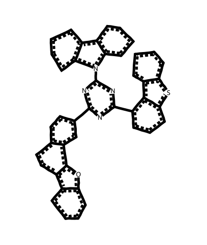 c1ccc2c(c1)oc1c3cc(-c4nc(-c5cccc6sc7ccccc7c56)nc(-n5c6ccccc6c6ccccc65)n4)ccc3ccc21